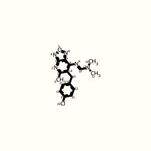 Cc1nc2nonc2c(N=CN(C)C)c1Cc1ccc(Cl)cc1